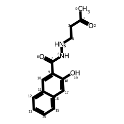 CC(=O)CCNNC(=O)c1cc2ccccc2cc1O